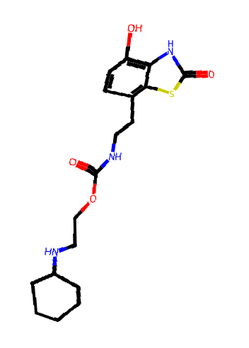 O=C(NCCc1ccc(O)c2[nH]c(=O)sc12)OCCNC1CCCCC1